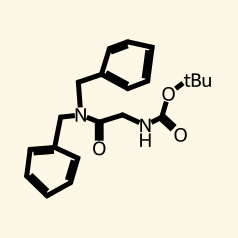 CC(C)(C)OC(=O)NCC(=O)N(Cc1ccccc1)Cc1ccccc1